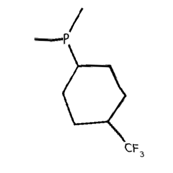 CP(C)C1CCC(C(F)(F)F)CC1